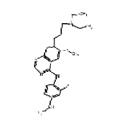 CCN(CC)CCCC1Cc2ncnc(Nc3ccc(NC)cc3F)c2C=C1OC